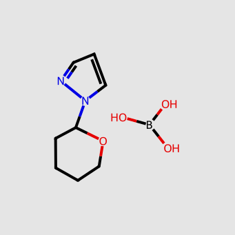 OB(O)O.c1cnn(C2CCCCO2)c1